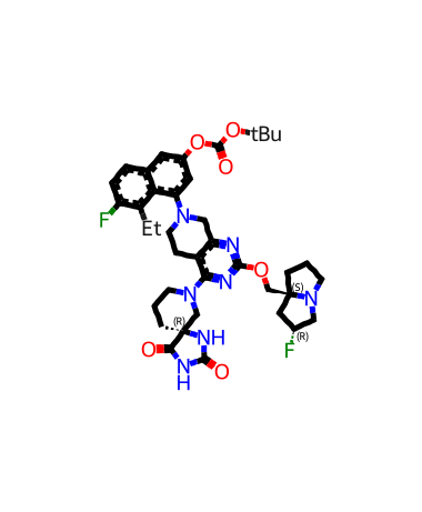 CCc1c(F)ccc2cc(OC(=O)OC(C)(C)C)cc(N3CCc4c(nc(OC[C@@]56CCCN5C[C@H](F)C6)nc4N4CCC[C@]5(C4)NC(=O)NC5=O)C3)c12